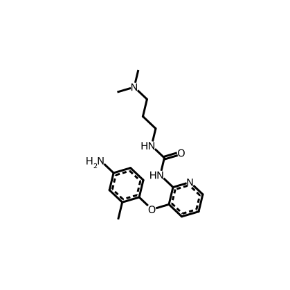 Cc1cc(N)ccc1Oc1cccnc1NC(=O)NCCCN(C)C